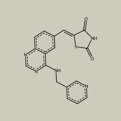 O=C1NC(=O)C(=Cc2ccc3ncnc(NCc4cccnc4)c3c2)S1